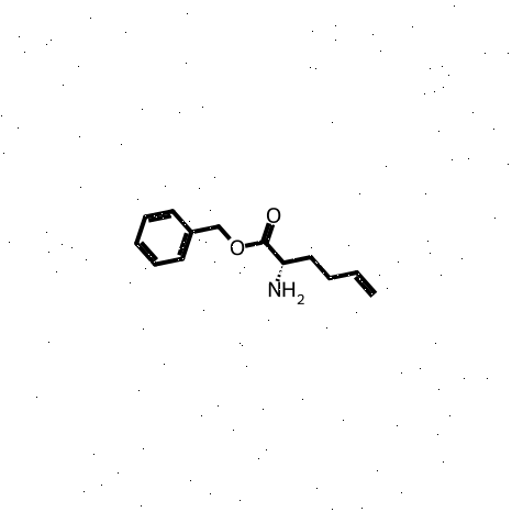 C=CCC[C@H](N)C(=O)OCc1ccccc1